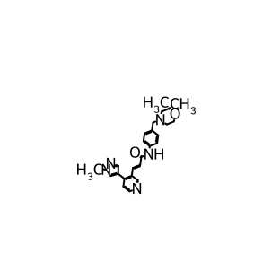 Cn1cc(-c2ccncc2C=CC(=O)Nc2ccc(CN3CCOC(C)(C)C3)cc2)cn1